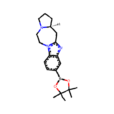 CC1(C)OB(c2ccc3c(c2)nc2n3CCN3CCC[C@H]3C2)OC1(C)C